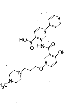 CN1CCN(CCCOc2ccc(O)c(C(=O)Nc3cc(-c4ccccc4)ccc3C(=O)O)c2)CC1